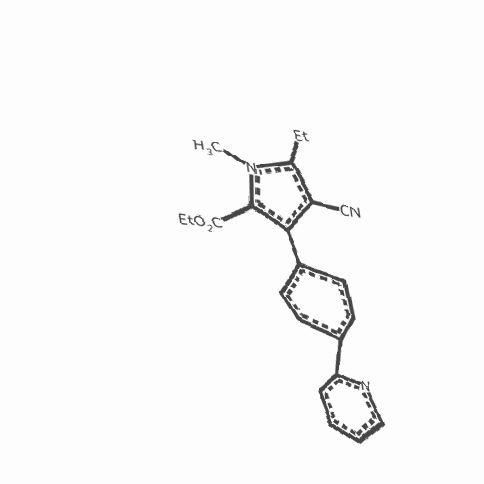 CCOC(=O)c1c(-c2ccc(-c3ccccn3)cc2)c(C#N)c(CC)n1C